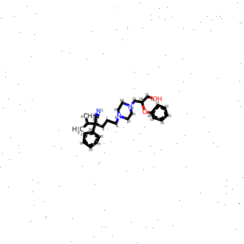 CC(C)C(C#N)(CCCN1CCN(CC(CO)Oc2ccccc2)CC1)c1ccccc1